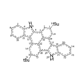 CC(C)(C)c1cc2c3[nH]c4ccccc4c3c3cc(C(C)(C)C)cc4c5[nH]c6ccccc6c5c(c1)c2c43